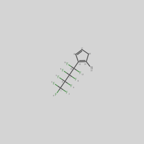 FC(F)(F)C(F)(F)C(F)(F)C(F)(F)C1=[C]([Tl])CC=C1